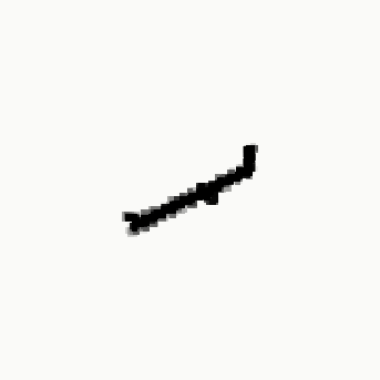 CCCC/C=C\CCCCCCCC(=O)OCCCCCCCCCCCCCC(C)CC